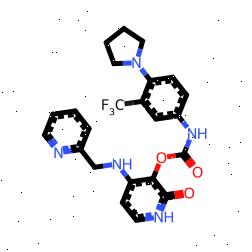 O=C(Nc1ccc(N2CCCC2)c(C(F)(F)F)c1)Oc1c(NCc2ccccn2)cc[nH]c1=O